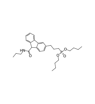 CCCCOP(=O)(CCCc1ccc2c(c1)-c1ccccc1C2C(=O)NCCC)OCCCC